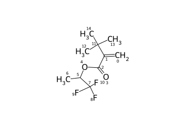 C=C(C(=O)OC(C)C(F)(F)F)C(C)(C)C